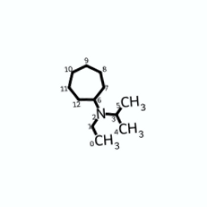 CCN(C(C)C)C1CCCCCC1